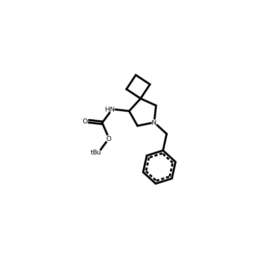 CC(C)(C)OC(=O)NC1CN(Cc2ccccc2)CC12CCC2